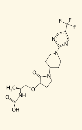 C[C@@H](COC1CCN(C2CCN(c3ncc(C(F)(F)F)cn3)CC2)C1=O)NC(=O)O